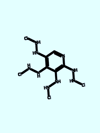 ClNNc1cnc(NNCl)c(NNCl)c1NNCl